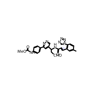 COC(=O)Nc1ccc(-c2cc(C(CC=O)NC(=O)/C=C/c3cc(C)ccc3-n3cnnn3)cnn2)cc1